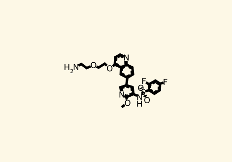 COc1ncc(-c2ccc3nccc(OCCOCCN)c3c2)cc1NS(=O)(=O)c1ccc(F)cc1F